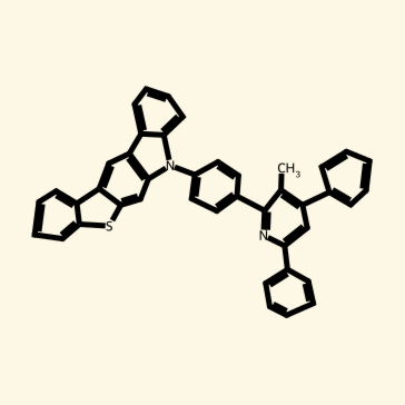 Cc1c(-c2ccccc2)cc(-c2ccccc2)nc1-c1ccc(-n2c3ccccc3c3cc4c(cc32)sc2ccccc24)cc1